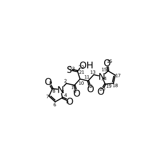 O=C(CN1C(=O)C=CC1=O)C(C(=O)CN1C(=O)C=CC1=O)C(O)=S